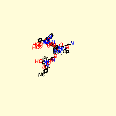 CC(C)[C@@H](C(=O)N1C[C@H](O)C[C@H]1C(=O)N[C@@H](C)c1ccc(C#N)cc1)c1cc(OCCN2CCC(OC3CC(Oc4cc(N5C6CCC5CN(c5cc(-c7ccccc7OP(=O)(O)O)nnc5NC(=O)OCc5ccc(NC(=O)[C@H](CCCCN(C)C)NC(=O)C7(C(=O)O)CCC7)cc5)C6)ccn4)C3)CC2)no1